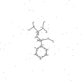 CC[SiH](O[SiH](C(C)C)C(C)C)c1ccccc1